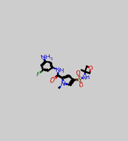 Cn1cc(S(=O)(=O)NC2(C)COC2)cc1C(=O)Nc1cc(N)cc(F)c1